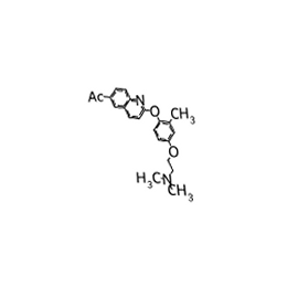 CC(=O)c1ccc2nc(Oc3ccc(OCCN(C)C)cc3C)ccc2c1